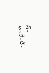 [Cu].[Ga].[S].[Zn]